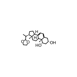 CC(C1OCCO1)[C@H]1CC[C@H]2C3=CC=C4C[C@H](O)C[C@H](O)[C@]4(C)[C@H]3CC[C@]12C